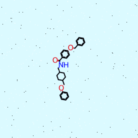 O=C(NCC1CCC(COc2ccccc2)CC1)c1ccc(OCc2ccccc2)cc1